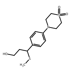 CSC(CCO)c1ccc(N2CCS(=O)(=O)CC2)cc1